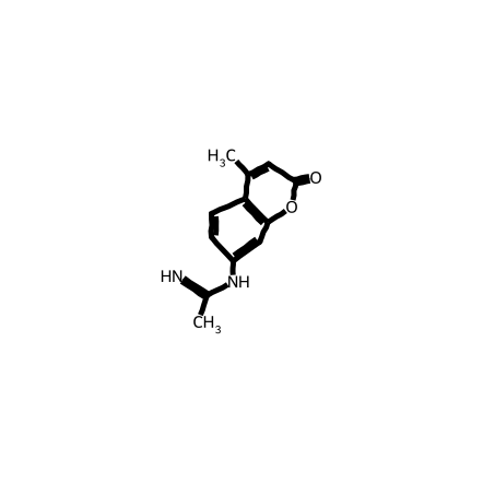 CC(=N)Nc1ccc2c(C)cc(=O)oc2c1